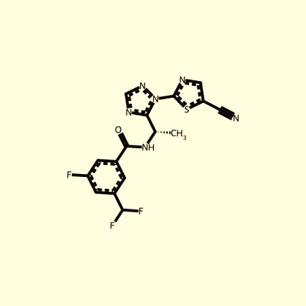 C[C@H](NC(=O)c1cc(F)cc(C(F)F)c1)c1ncnn1-c1ncc(C#N)s1